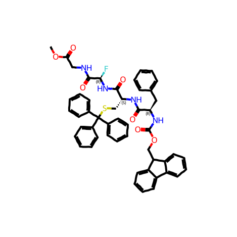 COC(=O)CNC(=O)[C@@H](F)NC(=O)[C@@H](CSC(c1ccccc1)(c1ccccc1)c1ccccc1)NC(=O)[C@@H](Cc1ccccc1)NC(=O)OCC1c2ccccc2-c2ccccc21